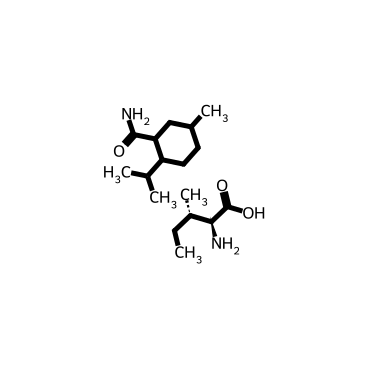 CC1CCC(C(C)C)C(C(N)=O)C1.CC[C@H](C)[C@H](N)C(=O)O